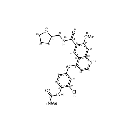 CNC(=O)Nc1ccc(Oc2ccnc3cc(OC)c(C(=O)NC[C@H]4CCCO4)cc23)cc1Cl